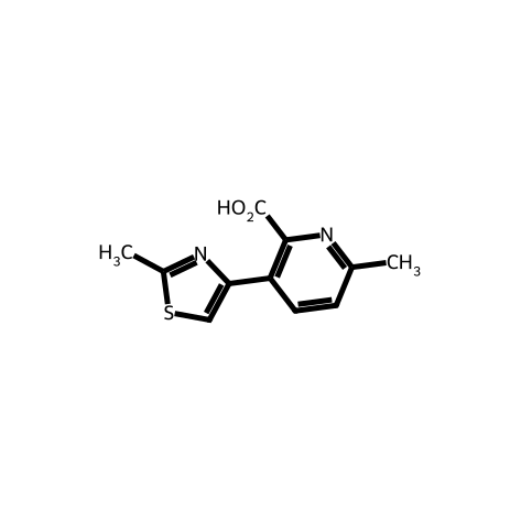 Cc1ccc(-c2csc(C)n2)c(C(=O)O)n1